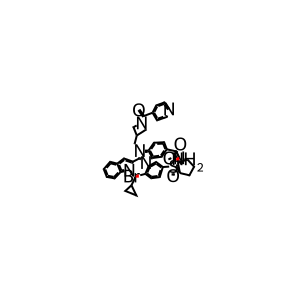 NC1(S(=O)(=O)c2ccc(Br)cc2)C2CCC1N(C(=O)c1ccc3c(c1)nc(-c1cc4ccccc4n1CC1CC1)n3CC1CN(C(=O)c3ccncc3)C1)C2